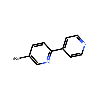 CCC(C)c1ccc(-c2ccncc2)nc1